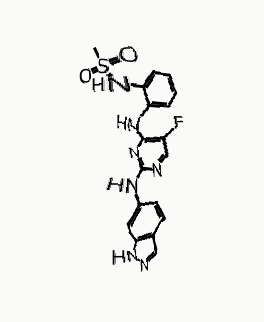 CS(=O)(=O)Nc1ccccc1Nc1nc(Nc2ccc3cn[nH]c3c2)ncc1F